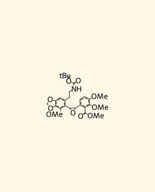 COC(=O)c1c(C2OC2c2c(CCNC(=O)OC(C)(C)C)cc3c(c2OC)OCO3)ccc(OC)c1OC